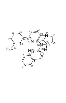 Cc1cnccc1NC(=O)N1c2nc(C3CCCC(C(F)(F)F)C3)ccc2N2CC[C@H]1C2